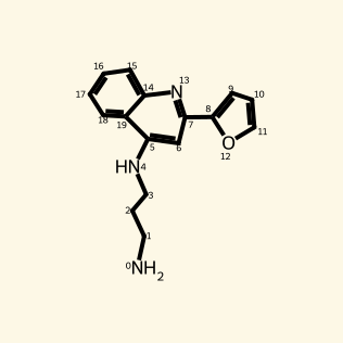 NCCCNc1cc(-c2ccco2)nc2ccccc12